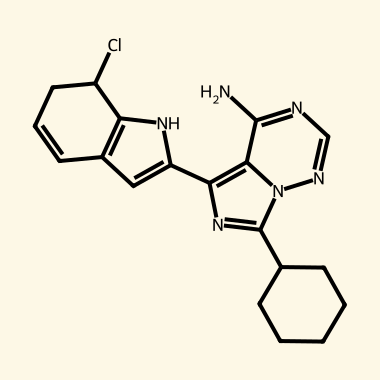 Nc1ncnn2c(C3CCCCC3)nc(-c3cc4c([nH]3)C(Cl)CC=C4)c12